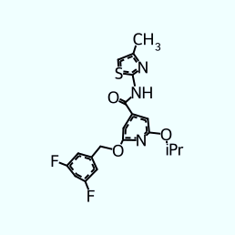 Cc1csc(NC(=O)c2cc(OCc3cc(F)cc(F)c3)nc(OC(C)C)c2)n1